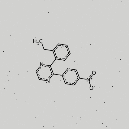 CCc1ccccc1-c1nccnc1-c1ccc([N+](=O)[O-])cc1